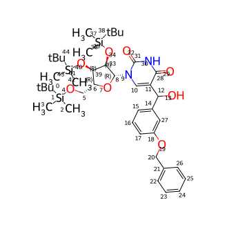 CC(C)(C)[Si](C)(C)OC[C@H]1O[C@@H](n2cc(C(O)c3cccc(OCc4ccccc4)c3)c(=O)[nH]c2=O)[C@H](O[Si](C)(C)C(C)(C)C)[C@@H]1O[Si](C)(C)C(C)(C)C